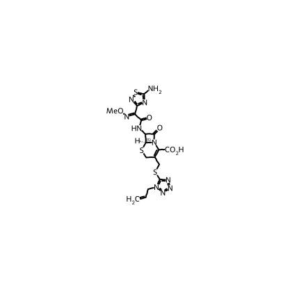 C=CCn1nnnc1SCC1=C(C(=O)O)N2C(=O)C(NC(=O)C(=NOC)c3nsc(N)n3)[C@@H]2SC1